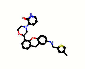 Cc1csc(CNc2ccc3c(c2)Cc2cccc(C4CN(c5ccc[nH]c5=O)CCO4)c2O3)c1